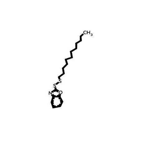 CCCCCCCCCCCCSSc1nc2ccccc2o1